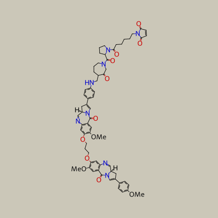 COc1ccc(C2=CN3C(=O)c4cc(OC)c(OCCCOc5cc6c(cc5OC)C(=O)N5C=C(c7ccc(NCC8CCCN(C(=O)C9CCCN9C(=O)CCCCCN9C(=O)C=CC9=O)CC8=O)cc7)C[C@H]5C=N6)cc4N=C[C@@H]3C2)cc1